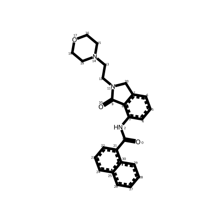 O=C(Nc1cccc2c1C(=O)N(CCN1CCOCC1)C2)c1cccc2ccccc12